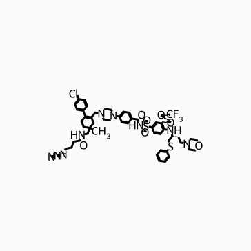 CC1(CNC(=O)CCCN=[N+]=[N-])CCC(c2ccc(Cl)cc2)=C(CN2CCN(c3ccc(C(=O)NS(=O)(=O)c4ccc(N[C@H](CCN5CCOCC5)CSc5ccccc5)c(S(=O)(=O)C(F)(F)F)c4)cc3)CC2)C1